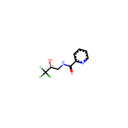 O=C(NC[C@H](O)C(F)(F)F)c1ccccn1